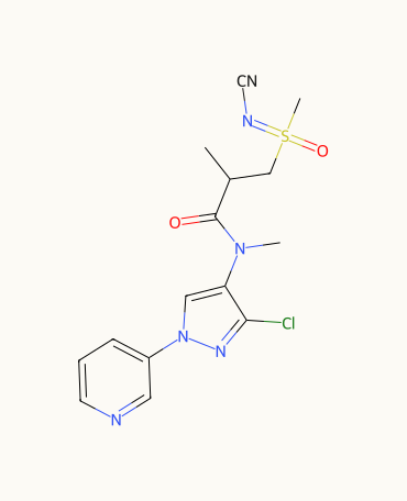 CC(CS(C)(=O)=NC#N)C(=O)N(C)c1cn(-c2cccnc2)nc1Cl